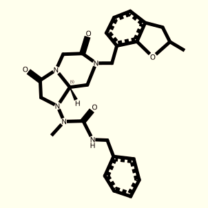 CC1Cc2cccc(CN3C[C@H]4N(CC3=O)C(=O)CN4N(C)C(=O)NCc3ccccc3)c2O1